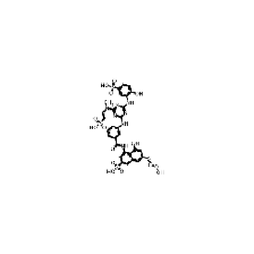 CN(CCS(=O)(=O)O)c1nc(Nc2cccc(C(=O)Nc3cc(S(=O)(=O)O)cc4cc(SOOO)cc(O)c34)c2)nc(Nc2cc(S(=O)(=O)O)ccc2O)n1